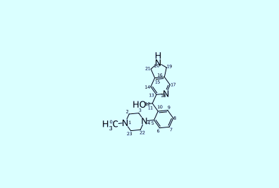 CN1CCN(c2ccccc2C(O)c2cc3c(cn2)CNC3)CC1